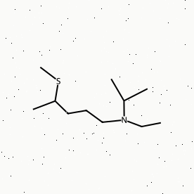 CCN(CCCC(C)SC)C(C)C